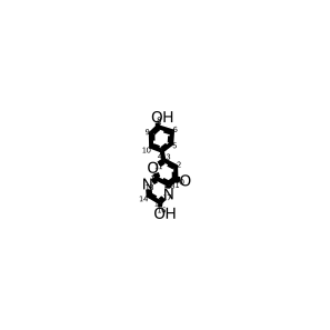 O=c1cc(-c2ccc(O)cc2)oc2ncc(O)nc12